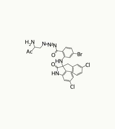 CC(=O)C(N)CN=[N+]=NC(=O)c1ccc(Br)cc1NC1(Cc2cccc(Cl)c2)C(=O)Nc2cc(Cl)ccc21